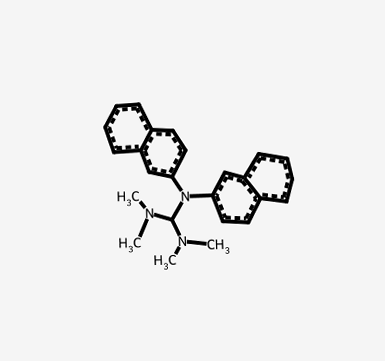 CN(C)C(N(C)C)N(c1ccc2ccccc2c1)c1ccc2ccccc2c1